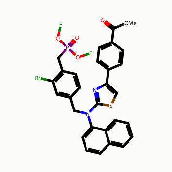 COC(=O)c1ccc(-c2csc(N(Cc3ccc(CP(=O)(OF)OF)c(Br)c3)c3cccc4ccccc34)n2)cc1